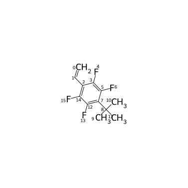 C=Cc1c(F)c(F)c(C(C)(C)C)c(F)c1F